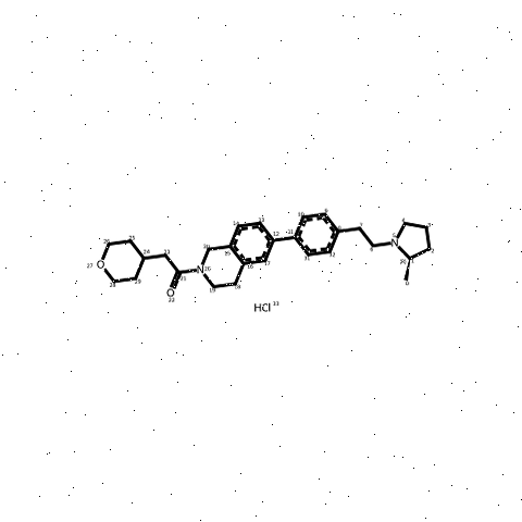 C[C@@H]1CCCN1CCc1ccc(-c2ccc3c(c2)CCN(C(=O)CC2CCOCC2)C3)cc1.Cl